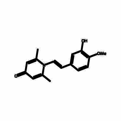 COc1ccc(C=Cn2c(C)cc(=O)cc2C)cc1O